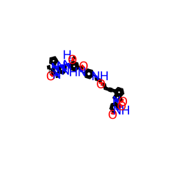 CC[C@@H]1C(=O)N(C)c2cnc(Nc3ccc(C(=O)N[C@H]4CC[C@H](NCCOCCC#Cc5cccc6c5CN(C5CCC(=O)NC5=O)C6=O)CC4)cc3OC)nc2N1C1CCCC1